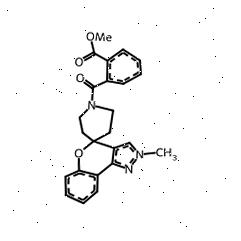 COC(=O)c1ccccc1C(=O)N1CCC2(CC1)Oc1ccccc1-c1nn(C)cc12